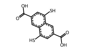 O=C(O)c1cc(S)c2cc(C(=O)O)cc(S)c2c1